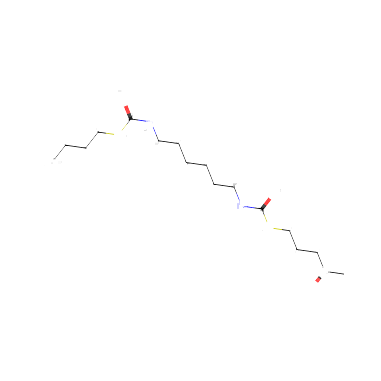 C[Si](=O)CCCSC(=O)NCCCCCCNC(=O)SCCC[SiH3]